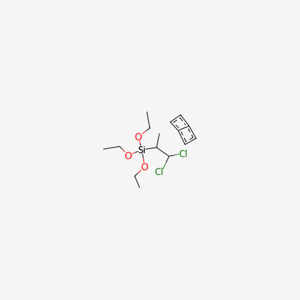 CCO[Si](OCC)(OCC)C(C)C(Cl)Cl.c1cc2ccc1-2